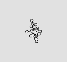 c1ccc(-c2ccc3c(c2)sc2c(-c4cccc5c4c4ccccc4n5-c4ccccc4)nc(-c4cccc5ccc(-n6c7cc8ccccc8cc7c7c8ccccc8ccc76)cc45)nc23)cc1